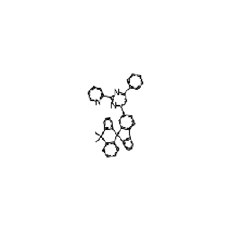 CC1(C)c2ccccc2C2(c3ccccc3-c3ccc(-c4cc(-c5ccccc5)nc(-c5ccccn5)n4)cc32)c2ccccc21